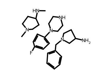 CNC1CCN(C)CC1.Fc1ccc(N2CCNCC2)cc1.NC1CCN(Cc2ccccc2)C1